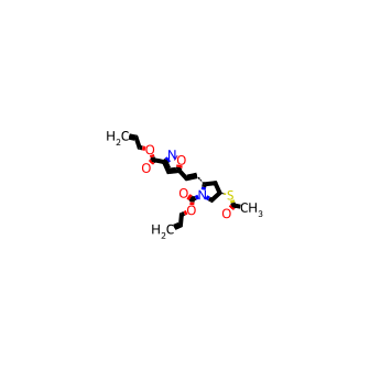 C=CCOC(=O)c1cc(/C=C/[C@@H]2C[C@H](SC(C)=O)CN2C(=O)OCC=C)on1